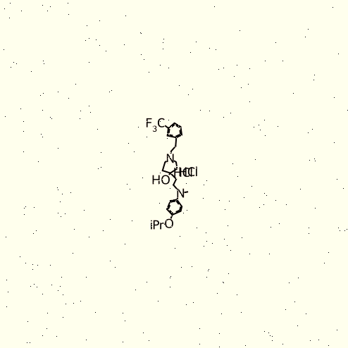 CC(C)Oc1ccc(N(C)CCC2(O)CCN(CCc3cccc(C(F)(F)F)c3)CC2)cc1.Cl.Cl